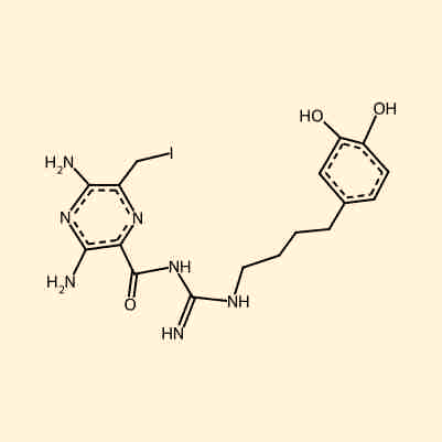 N=C(NCCCCc1ccc(O)c(O)c1)NC(=O)c1nc(CI)c(N)nc1N